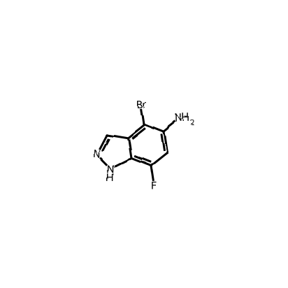 Nc1cc(F)c2[nH]ncc2c1Br